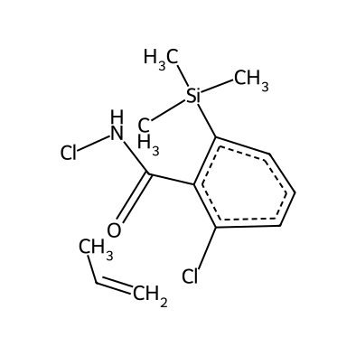 C=CC.C[Si](C)(C)c1cccc(Cl)c1C(=O)NCl